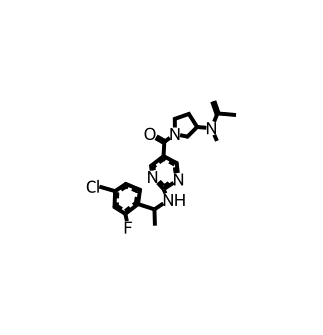 C=C(C)N(C)C1CCN(C(=O)c2cnc(NC(C)c3ccc(Cl)cc3F)nc2)C1